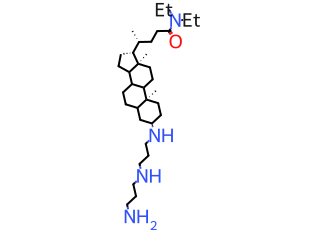 CCN(CC)C(=O)CC[C@@H](C)[C@H]1CCC2C3CCC4C[C@@H](NCCCNCCCN)CC[C@]4(C)C3CC[C@@]21C